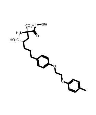 Cc1ccc(OCCOc2ccc(CCC[C@@H](C[C@](N)(C(=O)O)C(=O)OC(C)(C)C)C(=O)O)cc2)cc1